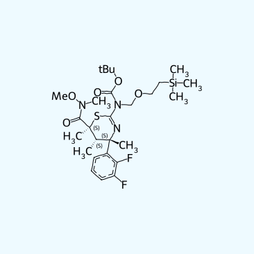 CON(C)C(=O)[C@@]1(C)SC(N(COCC[Si](C)(C)C)C(=O)OC(C)(C)C)=N[C@](C)(c2cccc(F)c2F)[C@@H]1C